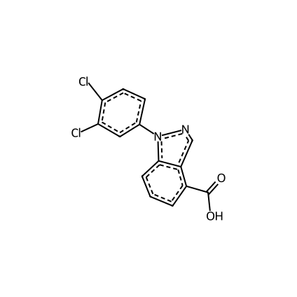 O=C(O)c1cccc2c1cnn2-c1ccc(Cl)c(Cl)c1